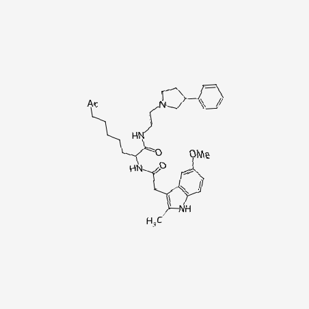 COc1ccc2[nH]c(C)c(CC(=O)NC(CCCCCC(C)=O)C(=O)NCCN3CCC(c4ccccc4)C3)c2c1